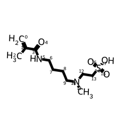 C=C(C)C(=O)NCCCCN(C)CCS(=O)(=O)O